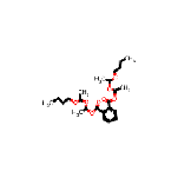 CCCCOC(C)OC(C)OC(=O)c1ccccc1C(=O)OC(C)OC(C)OCCCC